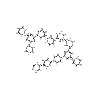 c1ccc(-c2ccc(-c3ccc(-c4nc(-c5ccccc5)nc(-c5cccc(-c6cccc(-c7cccc(-c8cccc(-c9nc(-c%10ccccc%10)nc(-c%10ccccc%10)n9)c8)c7)c6)c5)n4)cc3)cc2)cc1